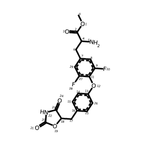 COC(=O)C(N)Cc1cc(F)c(Oc2ccc(CC3OC(=O)NC3=O)cc2)c(F)c1